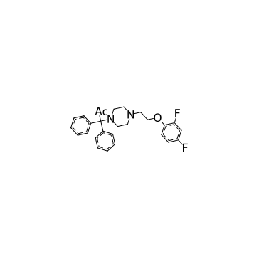 CC(=O)C(c1ccccc1)(c1ccccc1)N1CCN(CCOc2ccc(F)cc2F)CC1